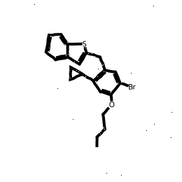 CCCCOc1cc(C2CC2)c(Cc2cc3ccccc3s2)cc1Br